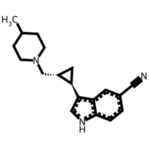 CC1CCN(C[C@@H]2C[C@H]2c2c[nH]c3ccc(C#N)cc23)CC1